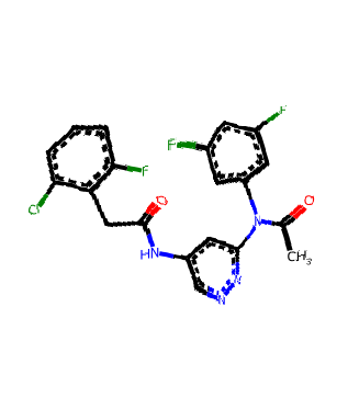 CC(=O)N(c1cc(F)cc(F)c1)c1cc(NC(=O)Cc2c(F)cccc2Cl)cnn1